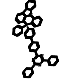 c1ccc(-c2nc(-c3ccccc3)nc(-c3ccc(-c4ccc([C@@]5(c6ccccc6)c6ccccc6-n6c7ccccc7c7cccc5c76)cc4)cc3)n2)cc1